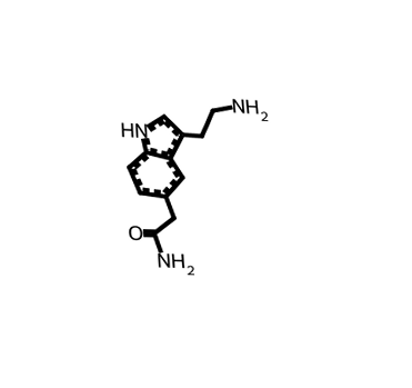 NCCc1c[nH]c2ccc(CC(N)=O)cc12